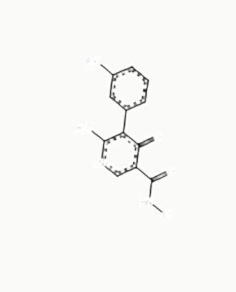 CCNC(=O)c1c[nH]c(C)c(-c2cccc(C(F)(F)F)c2)c1=O